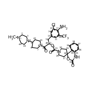 CN1CCN(C2CCN(C(=O)[C@@H](Cc3cc(Cl)c(N)c(C(F)(F)F)c3)OC(=O)N3CCC4(CC3)OC(=O)Nc3ccccc34)CC2)CC1